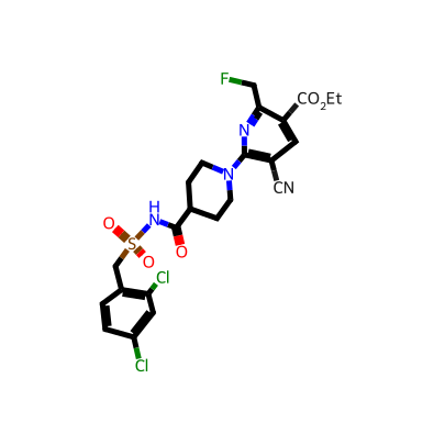 CCOC(=O)c1cc(C#N)c(N2CCC(C(=O)NS(=O)(=O)Cc3ccc(Cl)cc3Cl)CC2)nc1CF